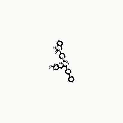 COc1ncc(CC(NC(=O)N2CCC(N3Cc4ccccc4NC3=O)CC2)C(=O)N2CCC(N3CCCCC3)CC2)cn1